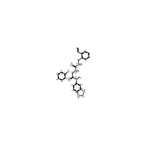 C=Cc1ccccc1CNC(=O)N[C@@H](Cc1ccccc1)C(=O)N(C)c1ccc2c(c1)OCO2